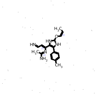 C/C=C\OC1NC(C(=C/C=N)/N=C(\C)N)=C(c2ccc(C)cc2)N1